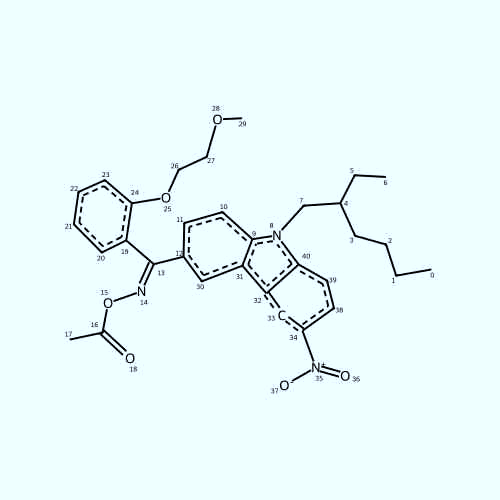 CCCCC(CC)Cn1c2ccc(/C(=N/OC(C)=O)c3ccccc3OCCOC)cc2c2cc([N+](=O)[O-])ccc21